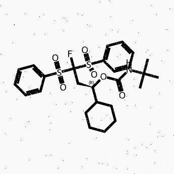 CC(C)(C)NC(=O)O[C@H](CC(F)(S(=O)(=O)c1ccccc1)S(=O)(=O)c1ccccc1)C1CCCCC1